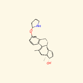 CC1=C2C(=C3C=C[C@H](O)[C@@]3(C)C1)CCc1cc(OC3CCCN3)ccc12